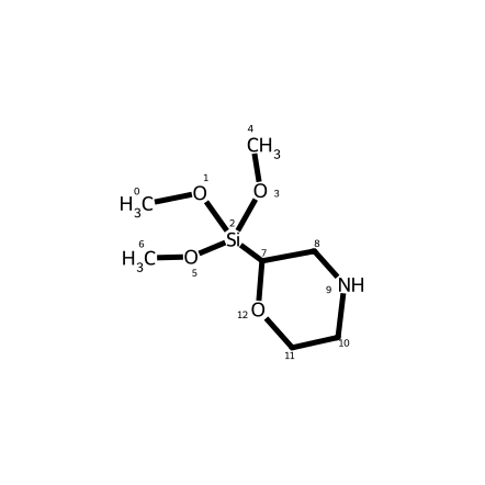 CO[Si](OC)(OC)C1CNCCO1